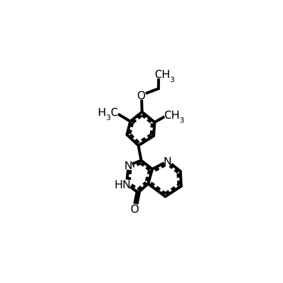 CCOc1c(C)cc(-c2n[nH]c(=O)c3cccnc23)cc1C